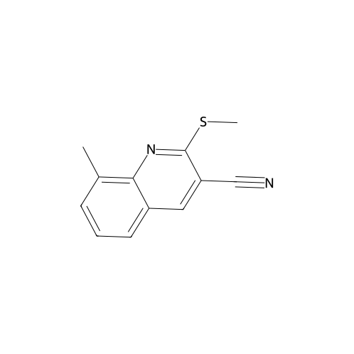 CSc1nc2c(C)cccc2cc1C#N